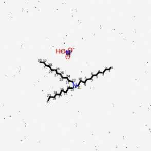 CCCCCCCCCCCCN(CCCCCCCCC)CCCCCCCCCCCC.O=[N+]([O-])O